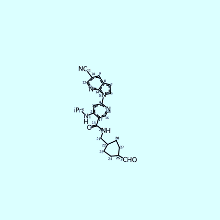 CC(C)Nc1cc(-n2ccc3cc(C#N)cnc32)ncc1C(=O)NCC1CCC(C=O)CC1